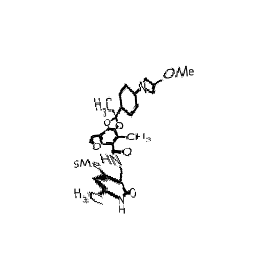 COC1CN(C2CCC([C@]3(C)Oc4c(C)c(C(=O)NCc5c(SC)cc(C)[nH]c5=O)c5occc5c4O3)CC2)C1